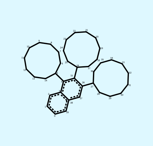 c1ccc2c(C3CCCCCCCCC3)c(C3CCCCCCCCC3)c(C3CCCCCCCCC3)cc2c1